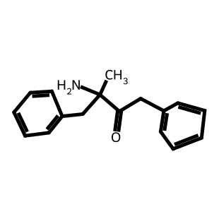 CC(N)(Cc1ccccc1)C(=O)Cc1ccccc1